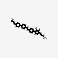 C=CCCC1CCC(C2CCC(/C=C/C3CC=C(c4ccc(CCCC)c(F)c4F)CC3)CC2)CC1